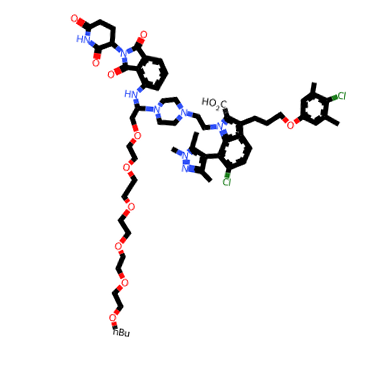 CCCCOCCOCCOCCOCCOCCOCC(Nc1cccc2c1C(=O)N(C1CCC(=O)NC1=O)C2=O)N1CCN(CCn2c(C(=O)O)c(CCCOc3cc(C)c(Cl)c(C)c3)c3ccc(Cl)c(-c4c(C)nn(C)c4C)c32)CC1